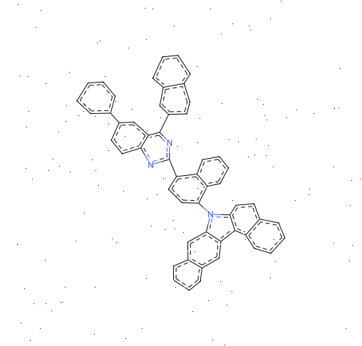 c1ccc(-c2ccc3nc(-c4ccc(-n5c6cc7ccccc7cc6c6c7ccccc7ccc65)c5ccccc45)nc(-c4ccc5ccccc5c4)c3c2)cc1